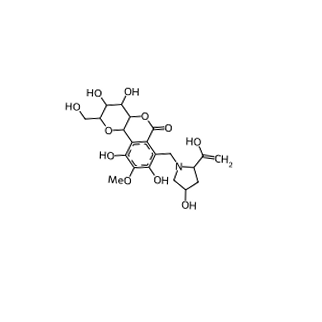 C=C(O)C1CC(O)CN1Cc1c(O)c(OC)c(O)c2c1C(=O)OC1C2OC(CO)C(O)C1O